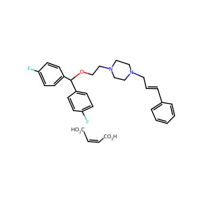 Fc1ccc(C(OCCN2CCN(CC=Cc3ccccc3)CC2)c2ccc(F)cc2)cc1.O=C(O)/C=C\C(=O)O